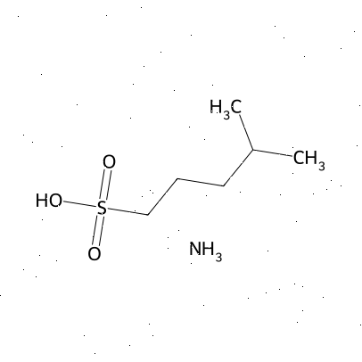 CC(C)CCCS(=O)(=O)O.N